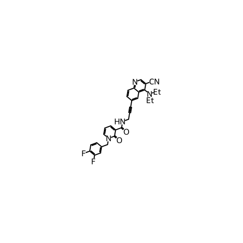 CCN(CC)c1c(C#N)cnc2ccc(C#CCNC(=O)c3cccn(Cc4ccc(F)c(F)c4)c3=O)cc12